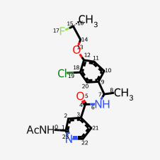 CC(=O)Nc1cc(C(=O)NC(C)c2ccc(OC[C@@H](C)F)c(Cl)c2)ccn1